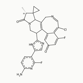 C[C@H]1C(=O)N2CC(c3ncc(-c4ccc(N)nc4F)[nH]3)C3=C(CN=CC(Cl)=C4C(F)=CC(=O)C=C43)C2C12CC2